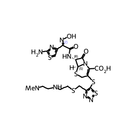 CNCCNCCSCc1nnsc1SC1=C(C(=O)O)N2C(=O)[C@@H](NC(=O)/C(=N\O)c3csc(N)n3)[C@@H]2SC1